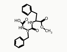 COC(=O)C(Cc1ccccc1)NC(=O)N(Cc1ccccc1)NC(=O)O